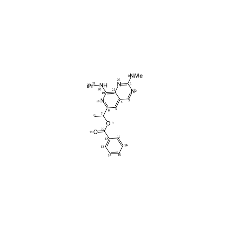 CNc1ncc2cc(C(C)OC(=O)c3ccccc3)nc(NC(C)C)c2n1